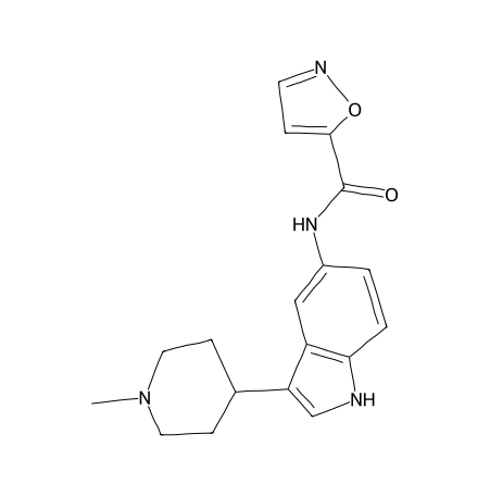 CN1CCC(c2c[nH]c3ccc(NC(=O)c4ccno4)cc23)CC1